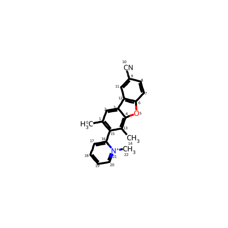 Cc1cc2c(oc3ccc(C#N)cc32)c(C)c1-c1cccc[n+]1C